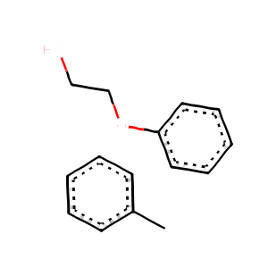 Cc1ccccc1.OCCOc1ccccc1